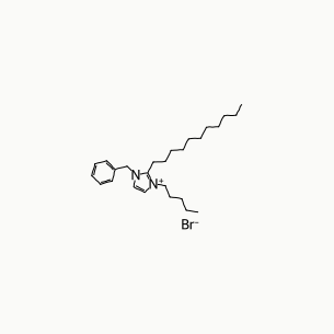 CCCCCCCCCCCc1n(Cc2ccccc2)cc[n+]1CCCCC.[Br-]